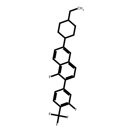 CCC1CCC(c2ccc3c(F)c(-c4ccc(C(F)(F)F)c(F)c4)ccc3c2)CC1